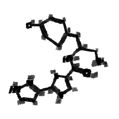 NCC(Cc1ccc(Cl)cc1)NC(=O)c1cnc(-c2cc[nH]n2)s1